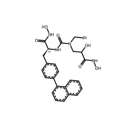 CC(C)CN(CC(O)C(=O)NO)C(=O)N[C@@H](Cc1ccc(-c2cccc3ccccc23)cc1)C(=O)NO